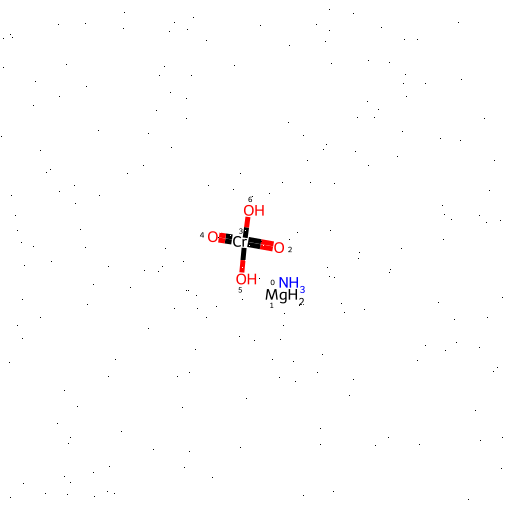 N.[MgH2].[O]=[Cr](=[O])([OH])[OH]